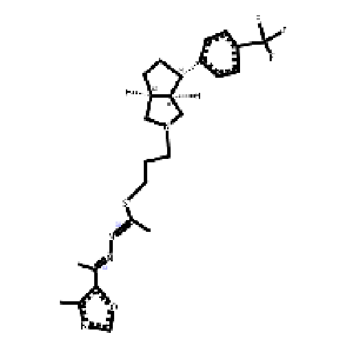 C/C(=N\N=C(/C)c1ocnc1C)SCCCN1C[C@H]2CC[C@H](c3ccc(C(F)(F)F)cc3)[C@H]2C1